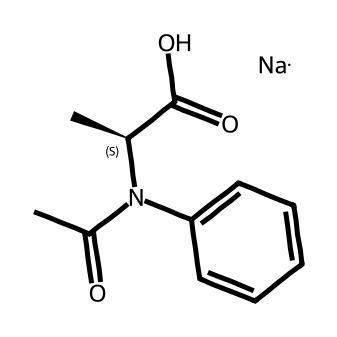 CC(=O)N(c1ccccc1)[C@@H](C)C(=O)O.[Na]